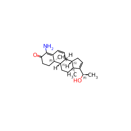 C[C@@H](O)C1=CC[C@H]2[C@@H]3C=CC4=C(N)C(=O)CC[C@]4(C)[C@H]3CC[C@]12C